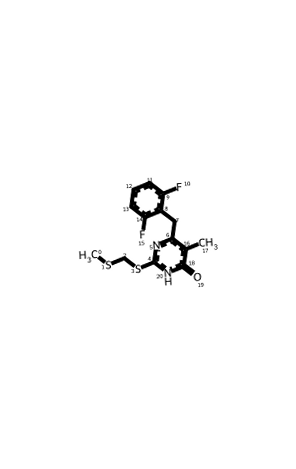 CSCSc1nc(Cc2c(F)cccc2F)c(C)c(=O)[nH]1